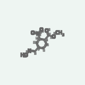 COC(=O)c1ccc(C=NO)cc1[N+](=O)[O-]